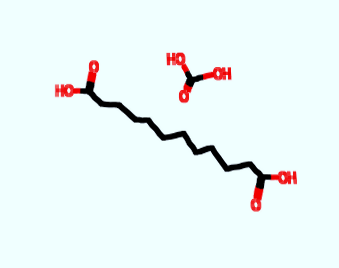 O=C(O)CCCCCCCCCCC(=O)O.O=C(O)O